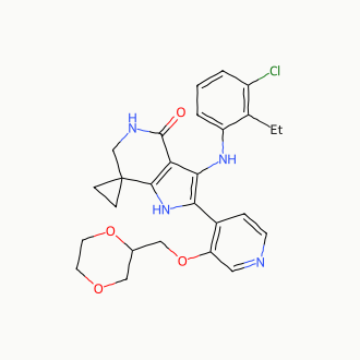 CCc1c(Cl)cccc1Nc1c(-c2ccncc2OCC2COCCO2)[nH]c2c1C(=O)NCC21CC1